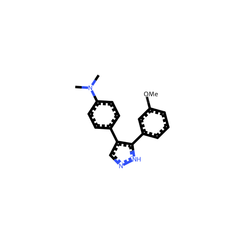 COc1cccc(-c2[nH]ncc2-c2ccc(N(C)C)cc2)c1